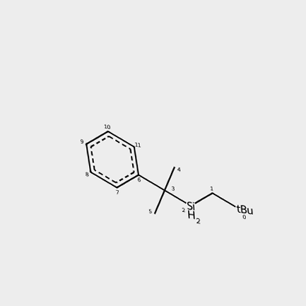 CC(C)(C)C[SiH2]C(C)(C)c1ccccc1